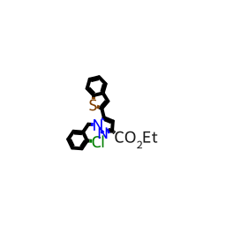 CCOC(=O)c1cc(-c2cc3ccccc3s2)n(Cc2ccccc2Cl)n1